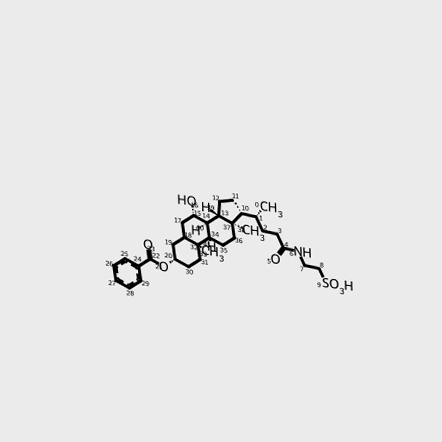 C[C@H](CCC(=O)NCCS(=O)(=O)O)[C@H]1CC[C@H]2[C@@H]3[C@@H](O)CC4C[C@@H](OC(=O)c5ccccc5)CC[C@]4(C)[C@H]3CC[C@]12C